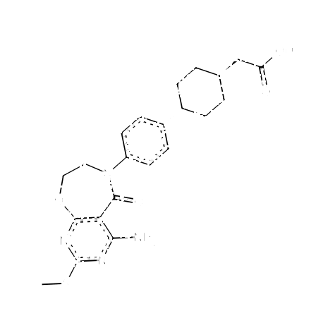 CSc1nc(N)c2c(n1)OCCN(c1ccc([C@H]3CC[C@H](CC(=O)O)CC3)cc1)C2=O